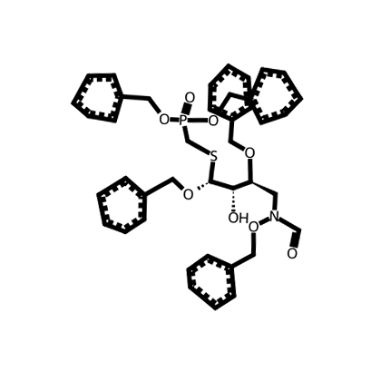 O=CN(C[C@H](OCc1ccccc1)[C@H](O)[C@H](OCc1ccccc1)SCP(=O)(OCc1ccccc1)OCc1ccccc1)OCc1ccccc1